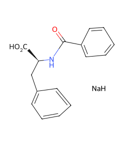 O=C(N[C@@H](Cc1ccccc1)C(=O)O)c1ccccc1.[NaH]